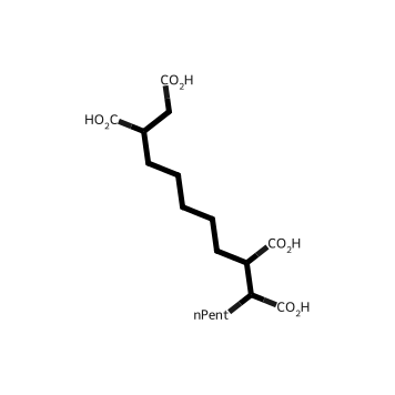 CCCCCC(C(=O)O)C(CCCCCC(CC(=O)O)C(=O)O)C(=O)O